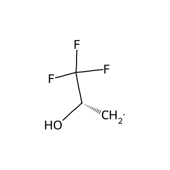 [CH2][C@H](O)C(F)(F)F